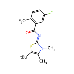 Cc1c(C(C)(C)C)s/c(=N\C(=O)c2cc(F)ccc2C(F)(F)F)n1C